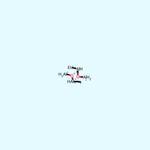 C[CH2][AlH][O][AlH2].[CH3][AlH][O][AlH2]